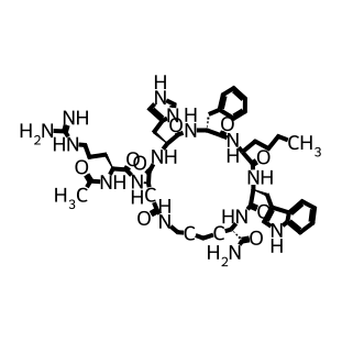 CCCCC1NC(=O)[C@@H](Cc2ccccc2)NC(=O)[C@H](Cc2c[nH]cn2)NC(=O)[C@@H](NC(=O)[C@H](CCCNC(=N)N)NC(C)=O)CC(=O)NCCCC[C@@H](C(N)=O)NC(=O)[C@H](Cc2c[nH]c3ccccc23)NC1=O